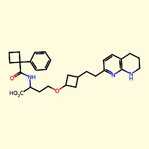 O=C(O)C(CCOC1CC(CCc2ccc3c(n2)NCCC3)C1)NC(=O)C1(c2ccccc2)CCC1